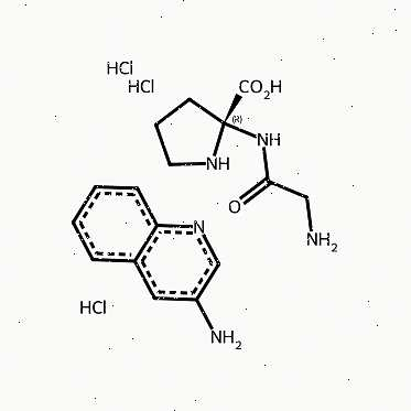 Cl.Cl.Cl.NCC(=O)N[C@@]1(C(=O)O)CCCN1.Nc1cnc2ccccc2c1